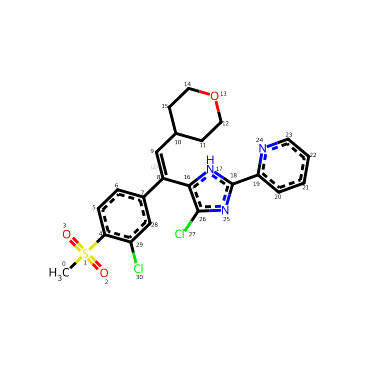 CS(=O)(=O)c1ccc(/C(=C/C2CCOCC2)c2[nH]c(-c3ccccn3)nc2Cl)cc1Cl